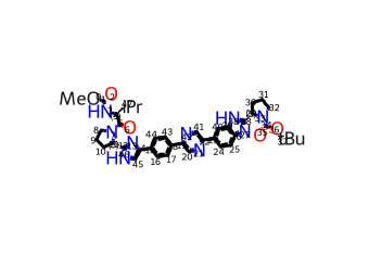 COC(=O)N[C@H](C(=O)N1CCC[C@H]1c1nc(-c2ccc(-c3cnc(-c4ccc5nc([C@@H]6CCCN6C(=O)OC(C)(C)C)[nH]c5c4)cn3)cc2)c[nH]1)C(C)C